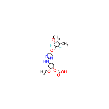 COc1cc(Nc2ncc(OCc3c(F)c(C)cc(OC)c3F)cn2)ccc1OCC(=O)O